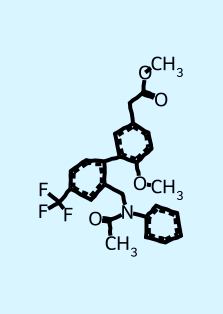 COC(=O)Cc1ccc(OC)c(-c2ccc(C(F)(F)F)cc2CN(C(C)=O)c2ccccc2)c1